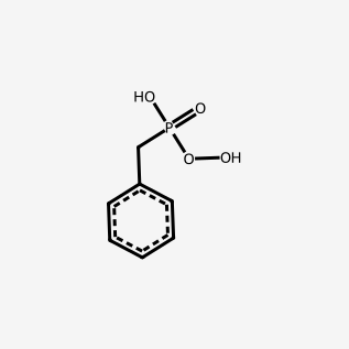 O=P(O)(Cc1ccccc1)OO